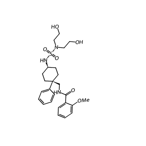 COc1ccccc1C(=O)NC[C@]1(c2ccccc2)CC[C@H](NS(=O)(=O)N(CCO)CCO)CC1